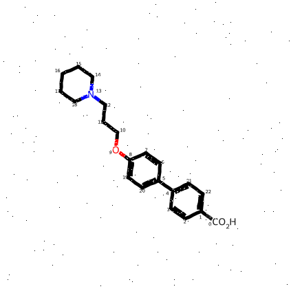 O=C(O)c1ccc(-c2ccc(OCCCN3CCCCC3)cc2)cc1